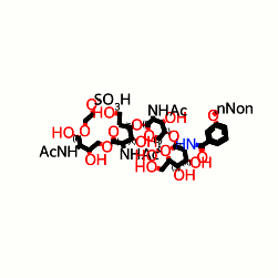 CCCCCCCCCOc1cccc(C(=O)NC2[C@H](O[C@H]3C(O)C(NC(C)=O)[C@H](O[C@@H]4C(CO)O[C@@H](OCC(O)C(NC(C)=O)[C@H](O)OCCOS(=O)(=O)O)C(NC(C)=O)[C@H]4O)O[C@H]3CO)OC(CO)[C@@H](O)[C@@H]2O)c1